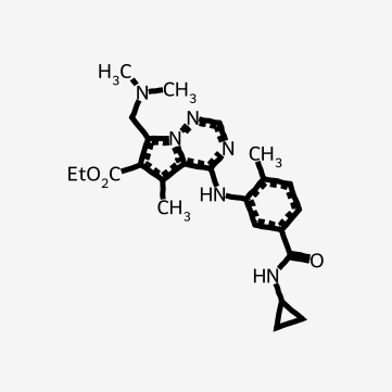 CCOC(=O)c1c(C)c2c(Nc3cc(C(=O)NC4CC4)ccc3C)ncnn2c1CN(C)C